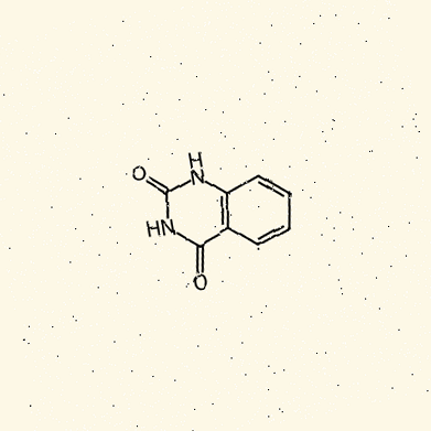 O=c1[nH]c(=O)c2[c]cccc2[nH]1